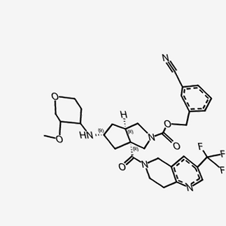 COC1COCCC1N[C@@H]1C[C@H]2CN(C(=O)OCc3cccc(C#N)c3)C[C@@]2(C(=O)N2CCc3ncc(C(F)(F)F)cc3C2)C1